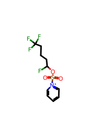 O=S(=O)(OC(F)CCCC(F)(F)F)[n+]1ccccc1